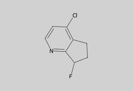 FC1CCc2c(Cl)ccnc21